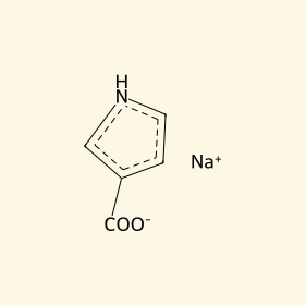 O=C([O-])c1cc[nH]c1.[Na+]